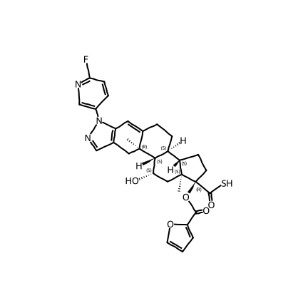 C[C@]12Cc3cnn(-c4ccc(F)nc4)c3C=C1CC[C@@H]1[C@@H]2[C@@H](O)C[C@@]2(C)[C@H]1CC[C@]2(OC(=O)c1ccco1)C(=O)S